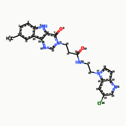 Cc1ccc2[nH]c3c(=O)n(CCC(=O)NCCn4ccc5ncc(Cl)cc54)cnc3c2c1